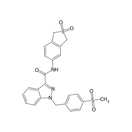 CS(=O)(=O)c1ccc(Cn2nc(C(=O)Nc3ccc4c(c3)CS(=O)(=O)C4)c3ccccc32)cc1